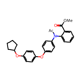 COC(=O)c1ccccc1N(C(C)=O)c1ccc(Oc2ccc(OC3CCCC3)cc2)cc1